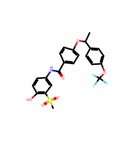 CC(Oc1ccc(C(=O)Nc2ccc(O)c(S(C)(=O)=O)c2)cc1)c1ccc(OC(F)(F)F)cc1